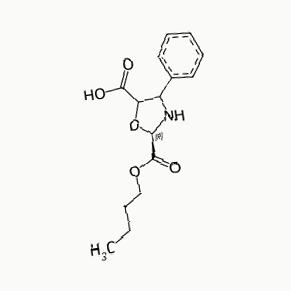 CCCCOC(=O)[C@@H]1NC(c2ccccc2)C(C(=O)O)O1